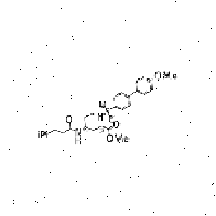 COC(=O)[C@H]1C[C@H](NC(=O)CCC(C)C)CCN1S(=O)(=O)c1ccc(-c2ccc(OC)cc2)cc1